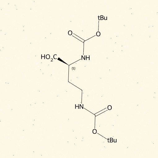 CC(C)(C)OC(=O)NCC[C@H](NC(=O)OC(C)(C)C)C(=O)O